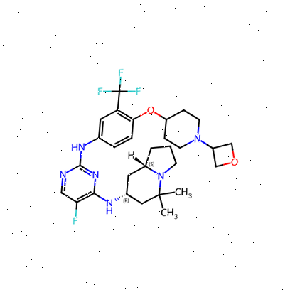 CC1(C)C[C@H](Nc2nc(Nc3ccc(OC4CCN(C5COC5)CC4)c(C(F)(F)F)c3)ncc2F)C[C@@H]2CCCN21